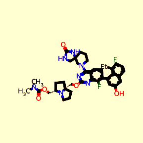 CCc1c(F)ccc2cc(O)cc(-c3ccc4c(N5CCCC6(CNC(=O)N6)C5)nc(OC[C@]56CCCN5[C@H](COC(=O)N(C)C)CC6)nc4c3F)c12